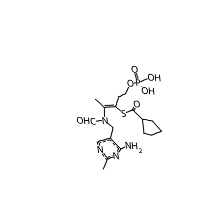 CC(=C(CCOP(=O)(O)O)SC(=O)C1CCCC1)N(C=O)Cc1cnc(C)nc1N